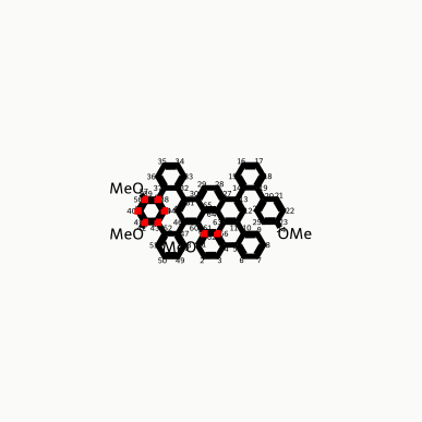 COc1ccc(-c2ccccc2-c2cc(-c3ccccc3-c3ccc(OC)cc3)c3ccc4c(-c5ccccc5-c5ccc(OC)cc5)cc(-c5ccccc5-c5ccc(OC)cc5)c5ccc2c3c54)cc1